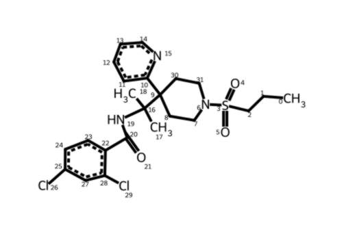 CCCS(=O)(=O)N1CCC(c2ccccn2)(C(C)(C)NC(=O)c2ccc(Cl)cc2Cl)CC1